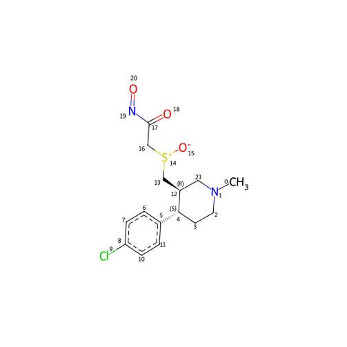 CN1CC[C@H](c2ccc(Cl)cc2)[C@@H](C[S+]([O-])CC(=O)N=O)C1